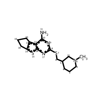 CN1CCCC(CSc2nc(N)c3c4c(sc3n2)CCC4)C1